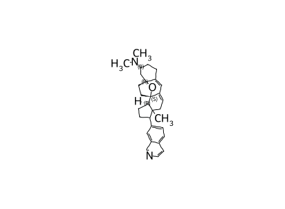 CN(C)[C@@H]1CCC2=CC3=CCC4(C)C(c5ccc6ccncc6c5)CC[C@H]4[C@@]34CC[C@]2(C1)O4